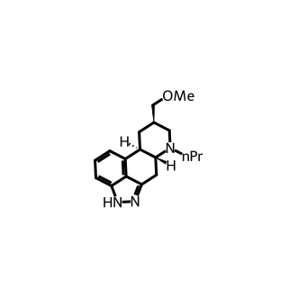 CCCN1C[C@H](COC)C[C@@H]2c3cccc4[nH]nc(c34)C[C@H]21